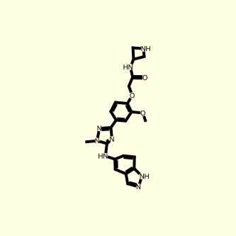 COc1cc(-c2nc(Nc3ccc4[nH]ncc4c3)n(C)n2)ccc1OCC(=O)NC1CNC1